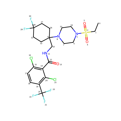 CCS(=O)(=O)N1CCN(C2(CNC(=O)c3c(Cl)ccc(C(F)(F)F)c3Cl)CCC(F)(F)CC2)CC1